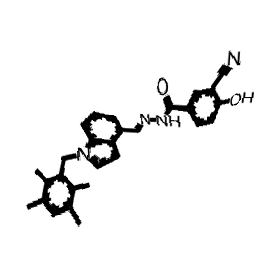 Cc1cc(C)c(C)c(Cn2ccc3c(C=NNC(=O)c4ccc(O)c(C#N)c4)cccc32)c1C